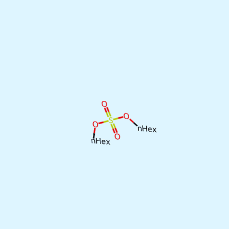 CCCCCCOS(=O)(=O)OCCCCCC